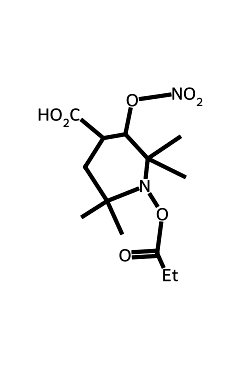 CCC(=O)ON1C(C)(C)CC(C(=O)O)C(O[N+](=O)[O-])C1(C)C